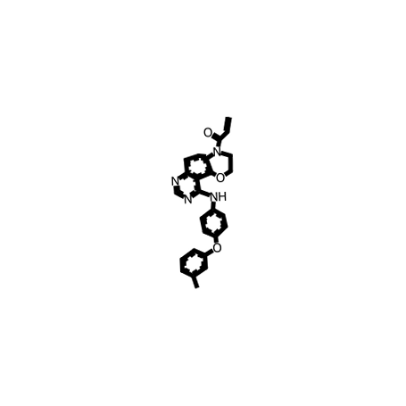 C=CC(=O)N1CCOc2c1ccc1ncnc(Nc3ccc(Oc4cccc(C)c4)cc3)c21